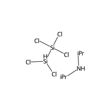 CC(C)NC(C)C.Cl[SiH](Cl)[Si](Cl)(Cl)Cl